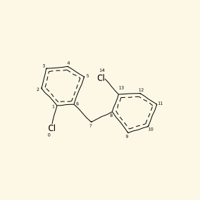 Clc1ccccc1Cc1ccccc1Cl